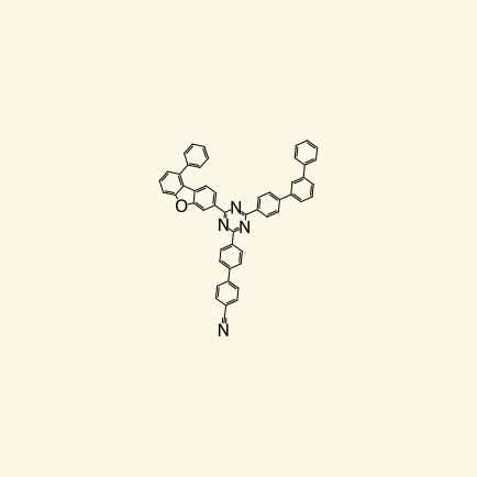 N#Cc1ccc(-c2ccc(-c3nc(-c4ccc(-c5cccc(-c6ccccc6)c5)cc4)nc(-c4ccc5c(c4)oc4cccc(-c6ccccc6)c45)n3)cc2)cc1